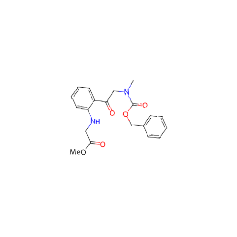 COC(=O)CNc1ccccc1C(=O)CN(C)C(=O)OCc1ccccc1